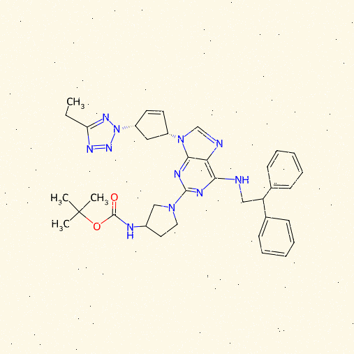 CCc1nnn([C@@H]2C=C[C@H](n3cnc4c(NCC(c5ccccc5)c5ccccc5)nc(N5CCC(NC(=O)OC(C)(C)C)C5)nc43)C2)n1